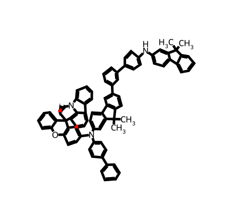 CC1(C)c2ccccc2-c2ccc(Nc3ccc(-c4cccc(-c5ccc6c(c5)-c5ccc(N(c7ccc(-c8ccccc8)cc7)c7ccc8c(c7)C7(c9ccccc9O8)c8ccccc8-n8c9ccccc9c9cccc7c98)cc5C6(C)C)c4)cc3)cc21